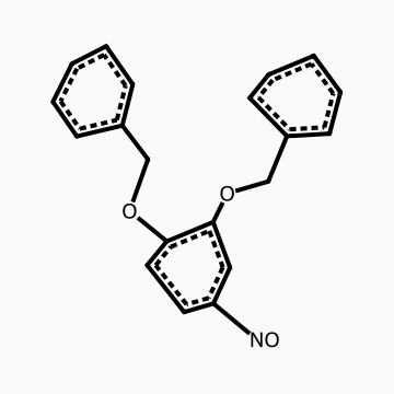 O=Nc1ccc(OCc2ccccc2)c(OCc2ccccc2)c1